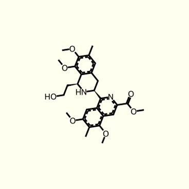 COC(=O)c1cc2c(OC)c(C)c(OC)cc2c([C@@H]2Cc3cc(C)c(OC)c(OC)c3[C@H](CCO)N2)n1